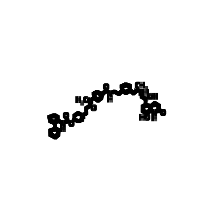 C[C@H](Cc1cccc(CCNC(=O)c2ccc(N(C)C(=O)CCN3CCC(OC(=O)Nc4ccccc4-c4ccccc4)CC3)cc2)c1)NC[C@H](O)c1ccc(O)c2[nH]c(=O)ccc12